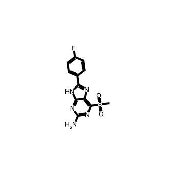 CS(=O)(=O)c1nc(N)nc2[nH]c(-c3ccc(F)cc3)nc12